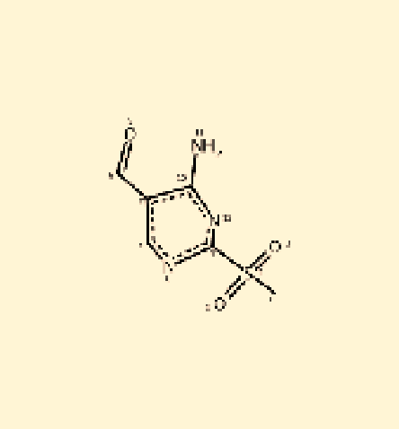 CS(=O)(=O)c1ncc(C=O)c(N)n1